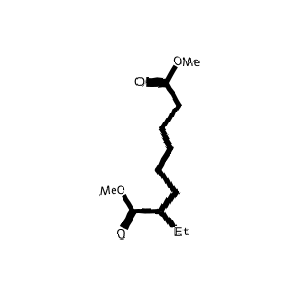 CCC(CCCCCC(=O)OC)C(=O)OC